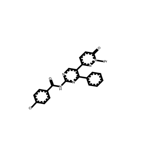 CC(C)n1nc(-c2cnc(NC(=O)c3ccc(Cl)cc3)nc2-c2ccccc2)ccc1=O